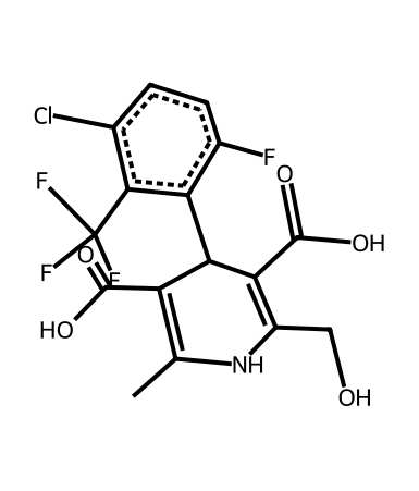 CC1=C(C(=O)O)C(c2c(F)ccc(Cl)c2C(F)(F)F)C(C(=O)O)=C(CO)N1